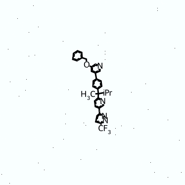 CC(C)C(C)(c1ccc(-c2cncc(OCc3ccccc3)c2)cc1)c1ccc(-c2ccc(C(F)(F)F)nn2)cn1